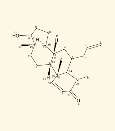 C=CCC1C[C@@H]2[C@@H](CC[C@]3(C)C(O)CC[C@@H]23)[C@@]2(C)C=CC(=O)N(C)C12